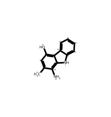 Cc1cc(O)c2c([nH]c3ccccc32)c1N